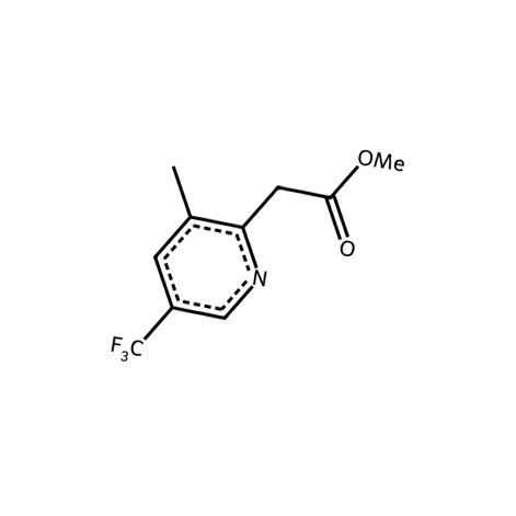 COC(=O)Cc1ncc(C(F)(F)F)cc1C